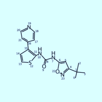 CC(C)(C)c1cc(NC(=O)Nc2sccc2-c2ccncc2)on1